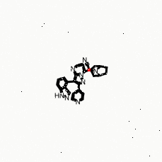 N#CCN1C2CCC1CC(c1ccnc3c(-c4cccc5[nH]ncc45)c(-c4ccncc4)nn13)C2